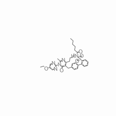 CCCCCC(=O)NS(=O)(=O)c1ccccc1-c1ccc(Cc2c(CCCC)nc(C)n(-c3ncc(OCC)cn3)c2=O)cc1